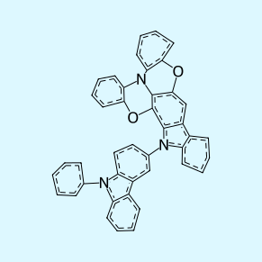 c1ccc(-n2c3ccccc3c3cc(-n4c5ccccc5c5cc6c7c(c54)Oc4ccccc4N7c4ccccc4O6)ccc32)cc1